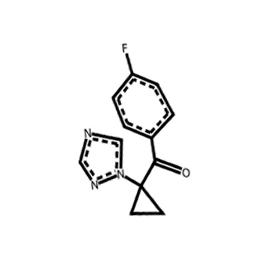 O=C(c1ccc(F)cc1)C1(n2cncn2)CC1